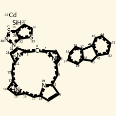 C1=Cc2cc3ccc(cc4nc(cc5ccc(cc1n2)[nH]5)C=C4)[nH]3.[Cd].[SiH4].c1cc2snnc2s1.c1ccc2c(c1)Cc1ccccc1-2